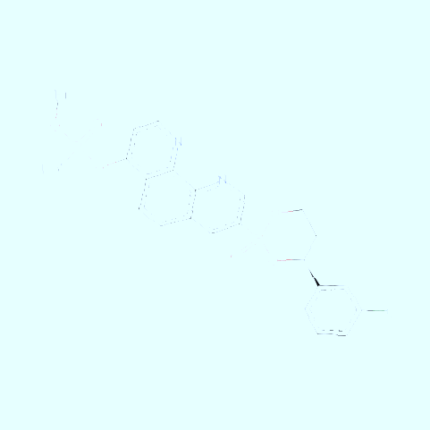 CCOP(C)(=O)Oc1ccnc2c1ccc1cc(P3(=O)OCC[C@@H](c4cccc(Cl)c4)O3)cnc12